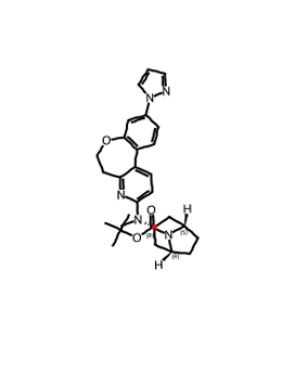 CN(c1ccc2c(n1)CCOc1cc(-n3cccn3)ccc1-2)[C@H]1C[C@H]2CC[C@@H](C1)N2C(=O)OC(C)(C)C